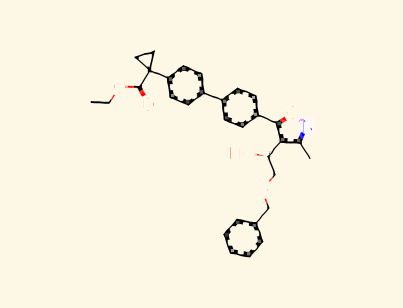 CCOC(=O)C1(c2ccc(-c3ccc(-c4onc(C)c4[C@H](O)COCc4ccccc4)cc3)cc2)CC1